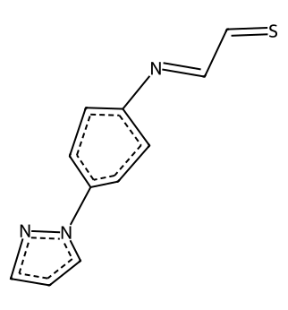 S=CC=Nc1ccc(-n2cccn2)cc1